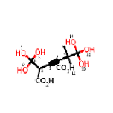 CC(C#CC(C(=O)O)C(O)(O)O)(C(=O)O)C(O)(O)O